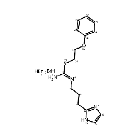 Br.Br.NC(=NCCCc1ncc[nH]1)SCCOc1ccccc1